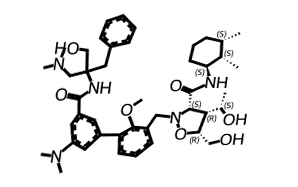 COc1c(CN2O[C@@H](CO)[C@@H]([C@H](C)O)[C@H]2C(=O)N[C@H]2CCC[C@H](C)[C@@H]2C)cccc1-c1cc(C(=O)NC(CO)(Cc2ccccc2)CN(C)C)cc(N(C)C)c1